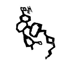 Cc1ccc(C2=C(c3ccc(CC4CN(CCCF)C4)cc3)c3ccc(C(=O)O)cc3CCC2)cc1Cl